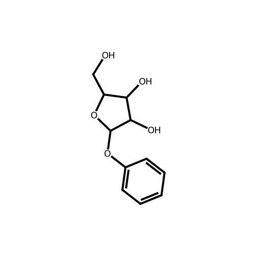 OCC1OC(Oc2ccccc2)C(O)C1O